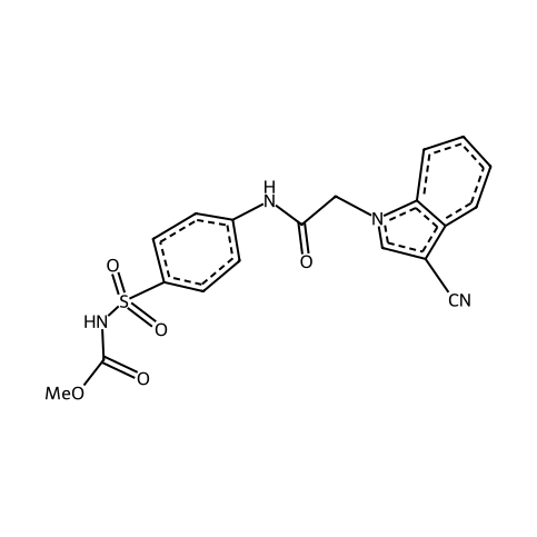 COC(=O)NS(=O)(=O)c1ccc(NC(=O)Cn2cc(C#N)c3ccccc32)cc1